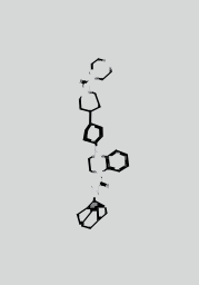 O=C(N1CCOCC1)N1CCC(c2ccc(N3CCN(C(=O)NC4C5CC6CC(C5)CC4C6)c4ccccc43)cc2)CC1